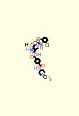 CN1CCC(NC(=O)c2ccc(C(=O)Nc3n[nH]c4c3CN(C(=O)Nc3c(Cl)cccc3Cl)C4(C)C)cc2)CC1